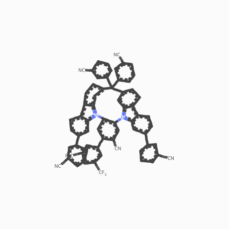 N#Cc1cccc(-c2ccc3c4ccc5cc4n(c3c2)-c2cc(C#N)c(-c3cc(C(F)(F)F)cc(C(F)(F)F)c3)cc2-n2c3cc(-c4cccc(C#N)c4)ccc3c3ccc(cc32)C5(c2cccc(C#N)c2)c2cccc(C#N)c2)c1